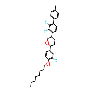 CCCCCCCCOc1ccc(C2CCC(c3ccc(-c4ccc(C)cc4)c(F)c3F)CO2)cc1F